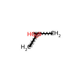 C=CCCCCCCCOCC(CO)OCCCCCCCC=C